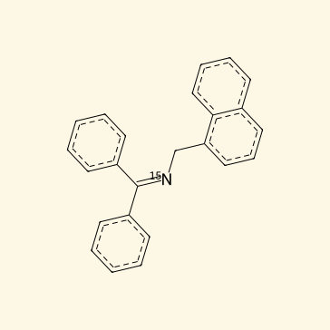 c1ccc(C(=[15N]Cc2cccc3ccccc23)c2ccccc2)cc1